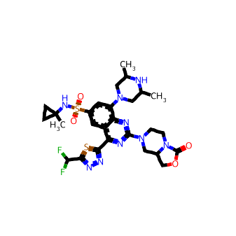 CC1CN(c2cc(S(=O)(=O)NC3(C)CC3)cc3c(-c4nnc(C(F)F)s4)nc(N4CCN5C(=O)OCC5C4)nc23)CC(C)N1